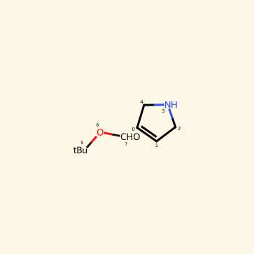 C1=CCNC1.CC(C)(C)OC=O